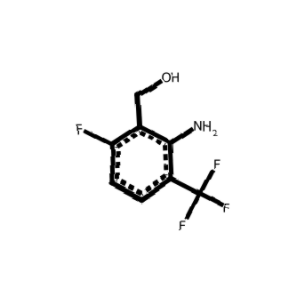 Nc1c(C(F)(F)F)ccc(F)c1CO